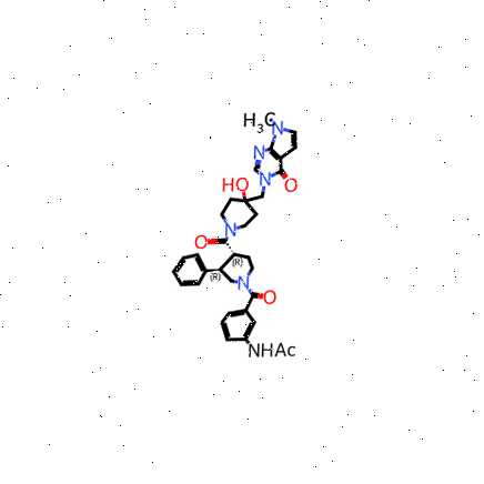 CC(=O)Nc1cccc(C(=O)N2CC[C@@H](C(=O)N3CCC(O)(Cn4cnc5c(ccn5C)c4=O)CC3)[C@H](c3ccccc3)C2)c1